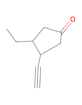 C#CC1CC(=O)CC1CC